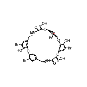 O=C1N/C=C/c2ccc(c(Br)c2)Oc2cc(cc(Br)c2O)CCNC(=O)/C(=N/O)Cc2ccc(c(Br)c2)Oc2cc(cc(Br)c2O)C/C1=N\O